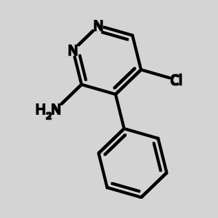 Nc1nncc(Cl)c1-c1ccccc1